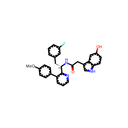 COc1ccc(-c2cccnc2[C@H](Cc2cccc(F)c2)NC(=O)Cc2c[nH]c3ccc(O)cc23)cc1